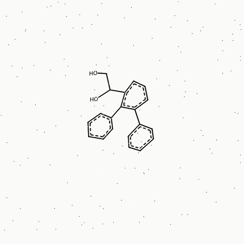 OCC(O)c1cccc(-c2ccccc2)c1-c1ccccc1